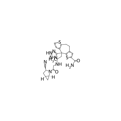 C[C@H](CC1(c2nn[nH]n2)c2ccsc2CCc2cc(C(N)=O)sc21)NCC(=O)N1[C@H](C#N)C[C@@H]2C[C@@H]21